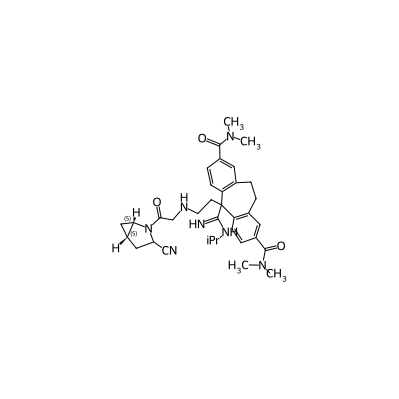 CC(C)NC(=N)C1(CCNCC(=O)N2C(C#N)C[C@@H]3C[C@@H]32)c2ccc(C(=O)N(C)C)cc2CCc2cc(C(=O)N(C)C)ccc21